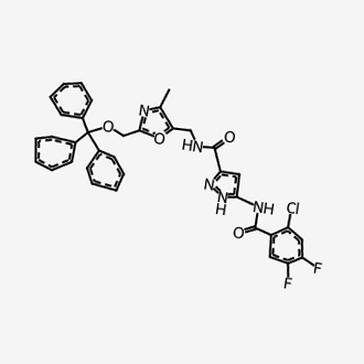 Cc1nc(COC(c2ccccc2)(c2ccccc2)c2ccccc2)oc1CNC(=O)c1cc(NC(=O)c2cc(F)c(F)cc2Cl)[nH]n1